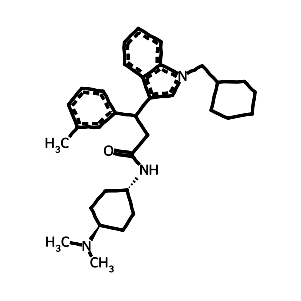 Cc1cccc(C(CC(=O)N[C@H]2CC[C@H](N(C)C)CC2)c2cn(CC3CCCCC3)c3ccccc23)c1